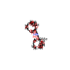 C=C1C[C@@H]2CC[C@@]34C[C@H]5OC6[C@@H](O[C@H]7CC[C@H](CC(=O)C[C@@H]8CC(C[C@H](O)CNC[C@@H](O)CC9OC%10C[C@H]%11OC(CCC%11=C)CC[C@@H]%11O[C@@H](CC[C@@]%12%13C[C@H]%14OC%15[C@@H](O[C@H]%16CC[C@H](CC(=O)C[C@@H]%10[C@H]9OC)O[C@@H]%16[C@@H]%15O%12)[C@H]%14O%13)CC%11=C)O[C@H]8C[C@H]8OC(CCC8=C)CC[C@@H]1O2)O[C@@H]7[C@@H]6O3)[C@H]5O4